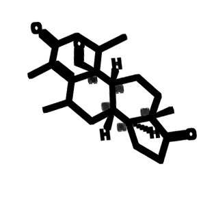 CC1=C2C(C)C[C@@H]3[C@@H](CC[C@]4(C)C(=O)CC[C@@H]34)[C@@]2(C=O)C(C)CC1=O